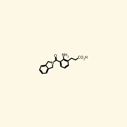 Nc1c(CCC(=O)O)cccc1C(=O)N1Cc2ccccc2C1